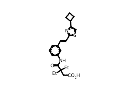 CCC(CC)(CC(=O)O)C(=O)Nc1cccc(C=Cc2nc(C3CCC3)cs2)c1